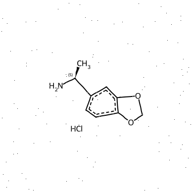 C[C@H](N)c1ccc2c(c1)OCO2.Cl